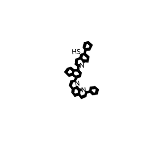 Sc1c(-c2ccccc2)ccc2nc(-c3ccc(-c4ccc5ccc6ccc(-c7ccccc7)nc6c5n4)c4ccccc34)ccc12